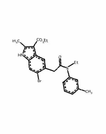 CCOC(=O)c1c(C)[nH]c2cc(Br)c(CC(=O)N(CC)c3cccc(C)c3)cc12